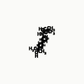 CC(C)(O)c1ccc(-c2ccnc(NC(=O)OC(C)(C)C(F)(F)F)c2)cc1